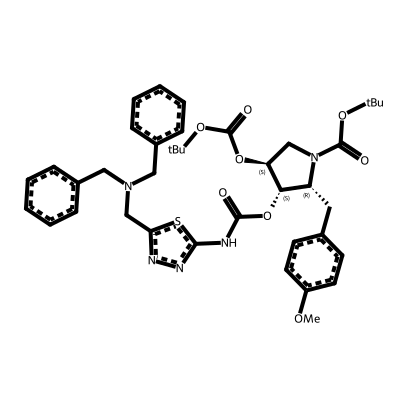 COc1ccc(C[C@@H]2[C@H](OC(=O)Nc3nnc(CN(Cc4ccccc4)Cc4ccccc4)s3)[C@@H](OC(=O)OC(C)(C)C)CN2C(=O)OC(C)(C)C)cc1